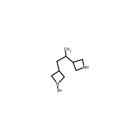 CC(CC1CN(C(C)C)C1)C1CNC1